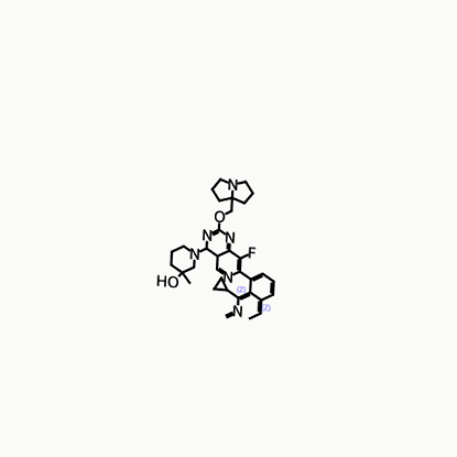 C=N/C(=c1/c(C2=C(F)C3=NC(OCC45CCCN4CCC5)=NC(N4CCCC(C)(O)C4)C3C=N2)ccc/c1=C/C)C1CC1